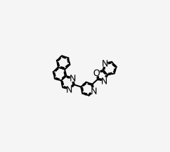 c1ccc2c(c1)ccc1cnc(-c3ccnc(-c4nc5cccnc5o4)c3)nc12